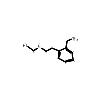 NCc1ccccc1C[CH2][Sn][CH2]S